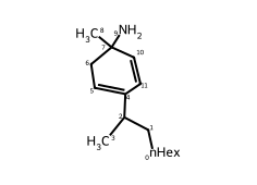 CCCCCCCC(C)C1=CCC(C)(N)C=C1